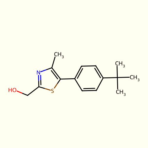 Cc1nc(CO)sc1-c1ccc(C(C)(C)C)cc1